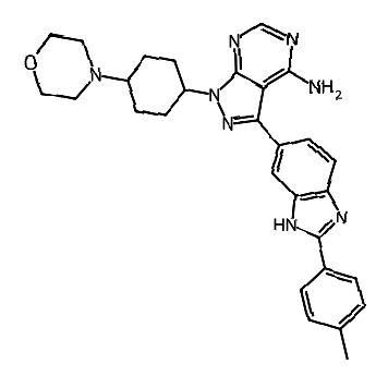 Cc1ccc(-c2nc3ccc(-c4nn(C5CCC(N6CCOCC6)CC5)c5ncnc(N)c45)cc3[nH]2)cc1